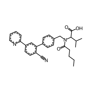 CCCCC(=O)N(Cc1ccc(-c2cc(-c3ccccn3)ccc2C#N)cc1)C(C(=O)O)C(C)C